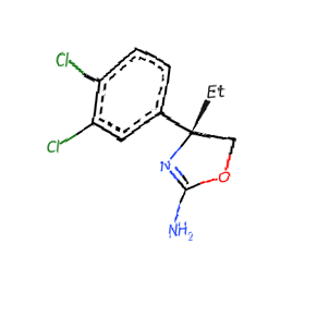 CC[C@@]1(c2ccc(Cl)c(Cl)c2)COC(N)=N1